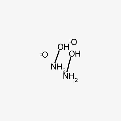 NO.NO.[O].[O]